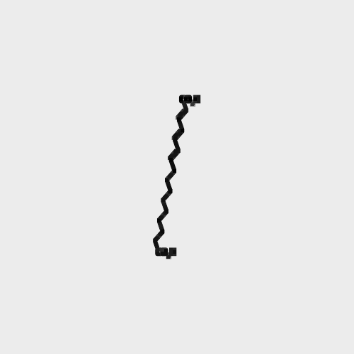 O=C(O)/C=C/C=C/C=C/CCCCCCCCC(=O)O